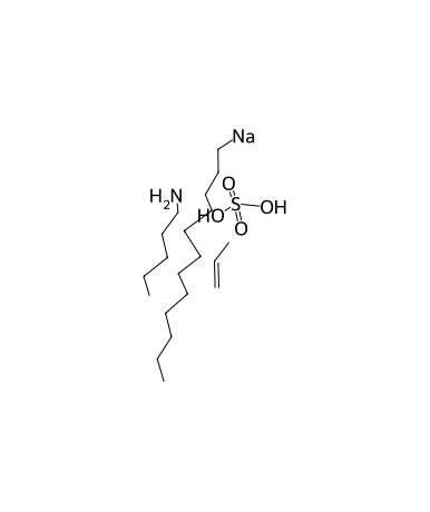 C=CC.CCCCCCCCCCC[CH2][Na].CCCCCN.O=S(=O)(O)O